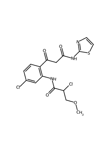 COCC(Cl)C(=O)Nc1cc(Cl)ccc1C(=O)CC(=O)Nc1nccs1